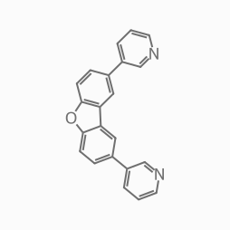 c1cncc(-c2ccc3oc4ccc(-c5cccnc5)cc4c3c2)c1